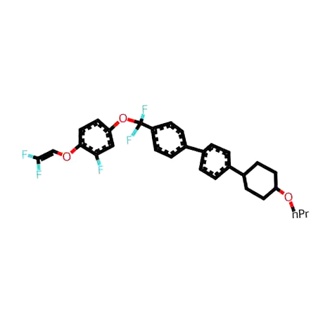 CCCOC1CCC(c2ccc(-c3ccc(C(F)(F)Oc4ccc(OC=C(F)F)c(F)c4)cc3)cc2)CC1